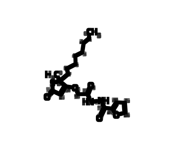 CCCCCCCCC1(C)SC(=O)C=C1OCC(=O)NNC(=O)c1ccco1